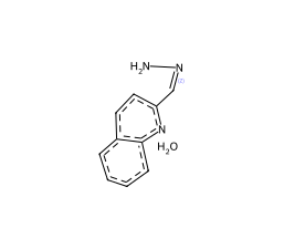 N/N=C\c1ccc2ccccc2n1.O